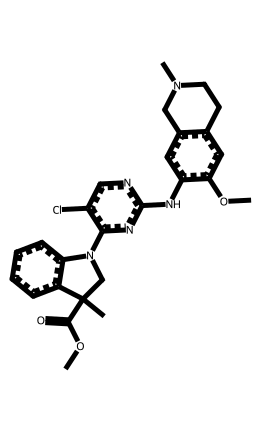 COC(=O)C1(C)CN(c2nc(Nc3cc4c(cc3OC)CCN(C)C4)ncc2Cl)c2ccccc21